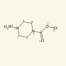 CCOC(=O)N1CCN(N)CC1